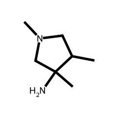 CC1CN(C)CC1(C)N